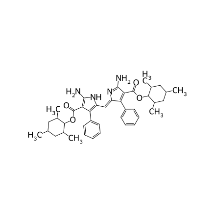 CC1CC(C)C(OC(=O)C2=C(c3ccccc3)/C(=C/c3[nH]c(N)c(C(=O)OC4C(C)CC(C)CC4C)c3-c3ccccc3)N=C2N)C(C)C1